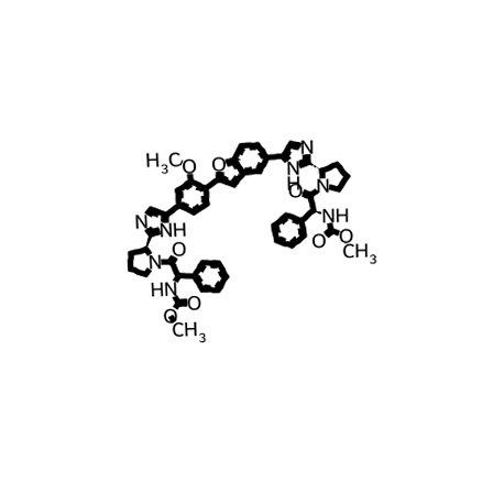 COC(=O)NC(C(=O)N1CCC[C@H]1c1ncc(-c2ccc(-c3cc4cc(-c5cnc([C@@H]6CCCN6C(=O)[C@H](NC(=O)OC)c6ccccc6)[nH]5)ccc4o3)c(OC)c2)[nH]1)c1ccccc1